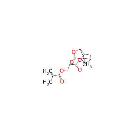 C=C(C)C(=O)OCCC(=O)OC1(C)C2CC3C(=O)OC1C3C2